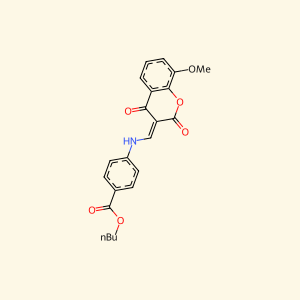 CCCCOC(=O)c1ccc(NC=C2C(=O)Oc3c(OC)cccc3C2=O)cc1